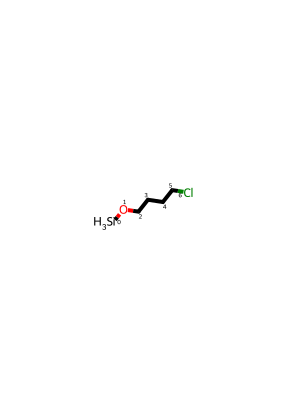 [SiH3]OCCCCCl